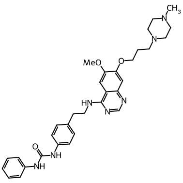 COc1cc2c(NCCc3ccc(NC(=O)Nc4ccccc4)cc3)ncnc2cc1OCCCN1CCN(C)CC1